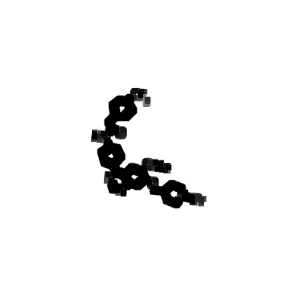 COc1cc2c(-c3ccc(NC(=O)Cc4ccc(C(F)(F)F)cc4)cc3)ncnc2cc1OCC1CCN(C(C)C)CC1